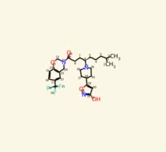 CC(C)CCC[C@H](CCC(=O)N1COc2ccc(C(F)(F)F)cc2C1)N1CCC(c2cc(O)no2)CC1